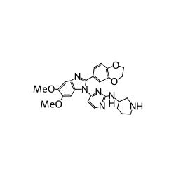 COc1cc2nc(-c3ccc4c(c3)OCCO4)n(-c3ccnc(NC4CCCNC4)n3)c2cc1OC